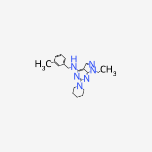 CCn1ncc2c(NCc3cccc(C)c3)nc(N3CCCCC3)nc21